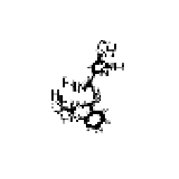 Cc1cc(C(=N)/N=C2\NC(O)Nc3ccccc32)n[nH]1